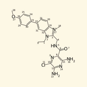 CCn1c(CNC(=O)c2nc(Cl)c(N)nc2N)[n+](C)c2ccc(-c3ccc(OC)cc3)cc21